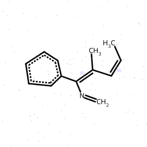 C=N/C(=C(C)\C=C/C)c1ccccc1